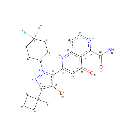 CC1(c2nn(C3CCC(F)(F)CC3)c(-c3cc(=O)c4c(C(N)=O)nccc4[nH]3)c2Br)CCC1